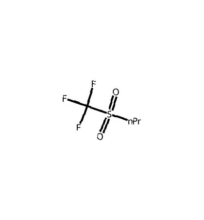 CCCS(=O)(=O)C(F)(F)F